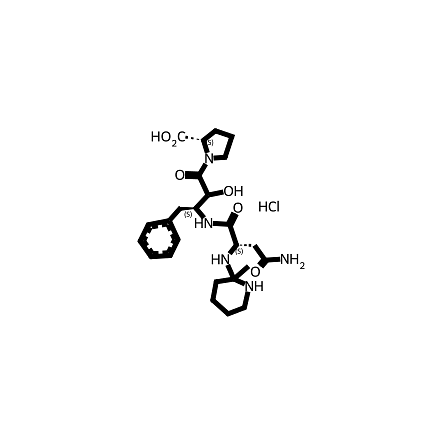 CC1(N[C@@H](CC(N)=O)C(=O)N[C@@H](Cc2ccccc2)C(O)C(=O)N2CCC[C@H]2C(=O)O)CCCCN1.Cl